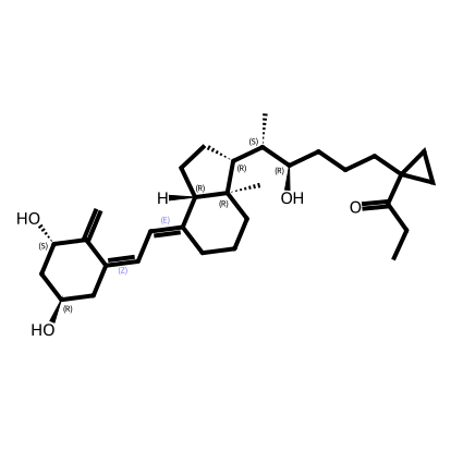 C=C1/C(=C\C=C2/CCC[C@]3(C)[C@@H]([C@H](C)[C@H](O)CCCC4(C(=O)CC)CC4)CC[C@@H]23)C[C@@H](O)C[C@@H]1O